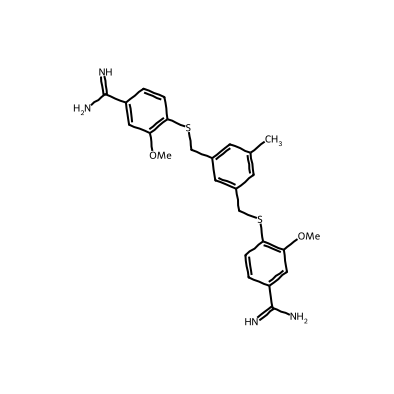 COc1cc(C(=N)N)ccc1SCc1cc(C)cc(CSc2ccc(C(=N)N)cc2OC)c1